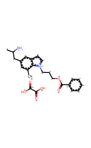 CC(N)Cc1cc(C#N)c2c(ccn2CCCOC(=O)c2ccccc2)c1.O=C(O)C(=O)O